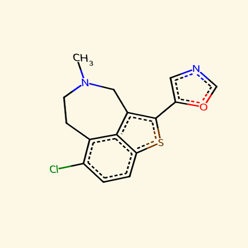 CN1CCc2c(Cl)ccc3sc(-c4cnco4)c(c23)C1